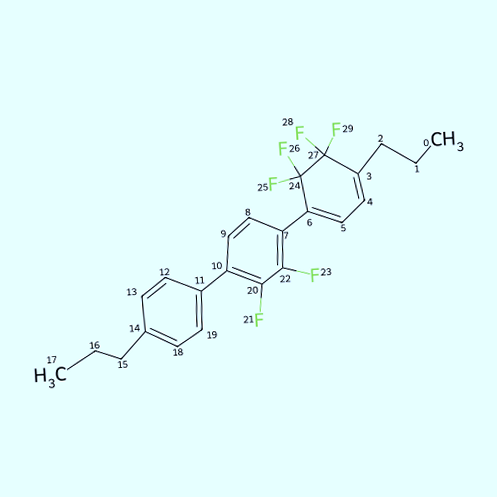 CCCC1=CC=C(c2ccc(-c3ccc(CCC)cc3)c(F)c2F)C(F)(F)C1(F)F